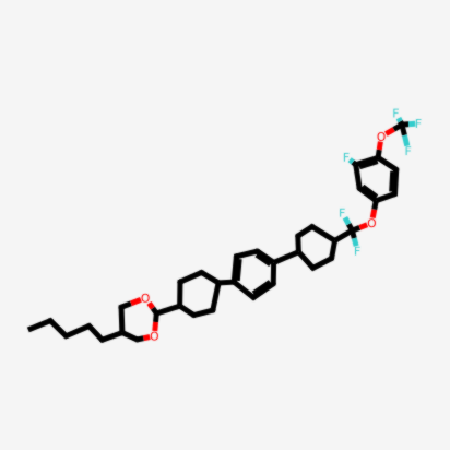 CCCCCC1COC(C2CCC(c3ccc(C4CCC(C(F)(F)Oc5ccc(OC(F)(F)F)c(F)c5)CC4)cc3)CC2)OC1